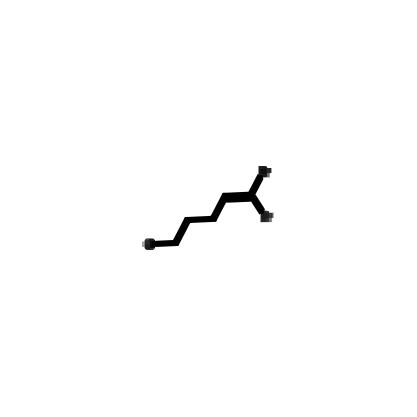 [O]CCCC=C(Br)Br